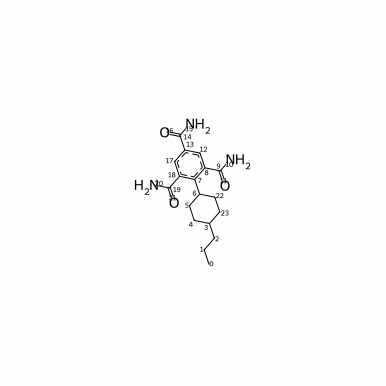 CCCC1CCC(c2c(C(N)=O)cc(C(N)=O)cc2C(N)=O)CC1